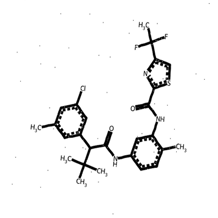 Cc1cc(Cl)cc(C(C(=O)Nc2ccc(C)c(NC(=O)c3nc(C(C)(F)F)cs3)c2)C(C)(C)C)c1